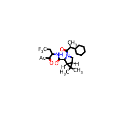 CC(=O)C(=O)C(CC(F)(F)F)NC(=O)[C@@H]1[C@@H]2[C@H](CN1C(=O)[C@@H](C)C1CCCCC1)C2(C)C